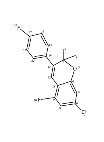 CC1(C)Oc2cc(Cl)cc(F)c2C=C1c1ccc(F)cc1